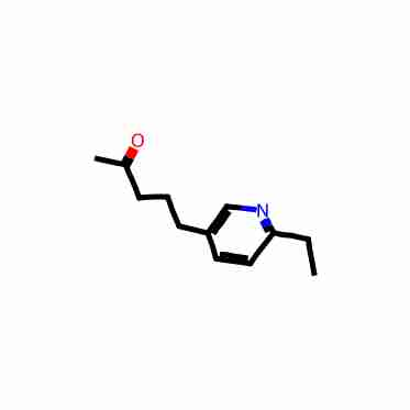 CCc1ccc(CCCC(C)=O)cn1